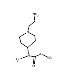 CN(C(=O)OC(C)(C)C)C1CCN(CCN)CC1